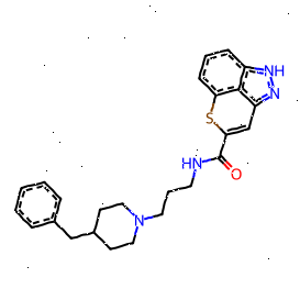 O=C(NCCCN1CCC(Cc2ccccc2)CC1)C1=Cc2n[nH]c3cccc(c23)S1